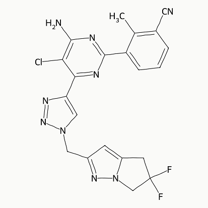 Cc1c(C#N)cccc1-c1nc(N)c(Cl)c(-c2cn(Cc3cc4n(n3)CC(F)(F)C4)nn2)n1